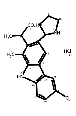 Cc1c(C(C)C(=O)O)c(C2CCCN2)cc2c1[nH]c1ccc(Cl)cc12.Cl